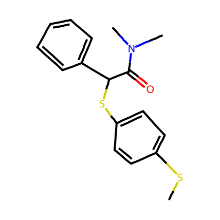 CSc1ccc(SC(C(=O)N(C)C)c2ccccc2)cc1